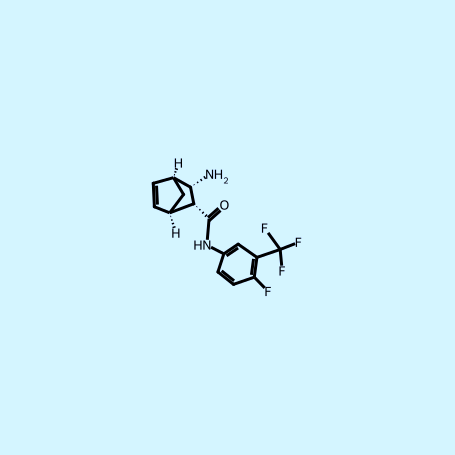 N[C@@H]1[C@H](C(=O)Nc2ccc(F)c(C(F)(F)F)c2)[C@H]2C=C[C@@H]1C2